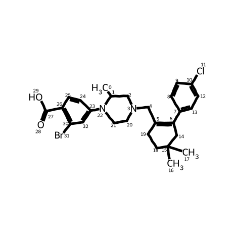 CC1CN(CC2=C(c3ccc(Cl)cc3)CC(C)(C)CC2)CCN1c1ccc(C(=O)O)c(Br)c1